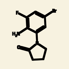 Nc1c(F)cc(Br)cc1N1CCCC1=O